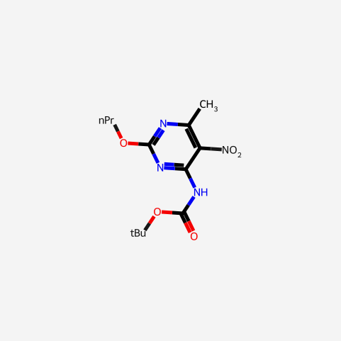 CCCOc1nc(C)c([N+](=O)[O-])c(NC(=O)OC(C)(C)C)n1